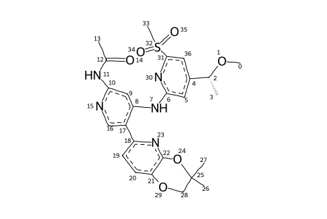 CO[C@H](C)c1cc(Nc2cc(NC(C)=O)ncc2-c2ccc3c(n2)OC(C)(C)CO3)nc(S(C)(=O)=O)c1